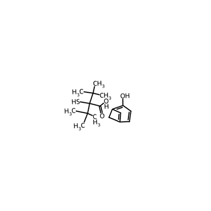 CC(C)(C)C(S)(C(=O)O)C(C)(C)C.Oc1ccc2cc1C2